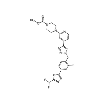 CC(C)(C)OC(=O)N1CCN(c2cc(-c3cn(Cc4ccc(-c5nnc(C(F)F)o5)cc4F)nn3)ccn2)CC1